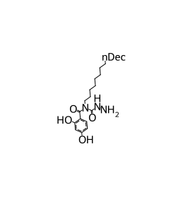 CCCCCCCCCCCCCCCCCCN(C(=O)NN)C(=O)c1ccc(O)cc1O